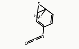 CC12C=CC(N=C=O)=CC1S2